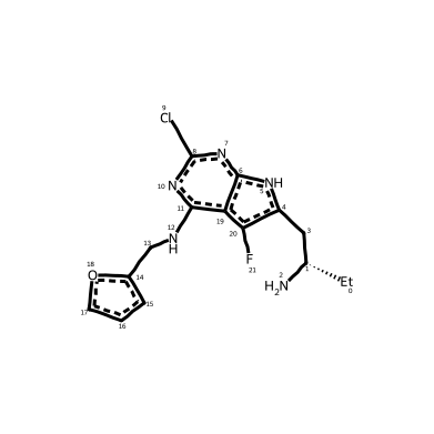 CC[C@H](N)Cc1[nH]c2nc(Cl)nc(NCc3ccco3)c2c1F